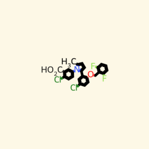 Cc1ccc(-c2cc(Cl)ccc2OCc2c(F)cccc2F)n1-c1ccc(Cl)c(C(=O)O)c1